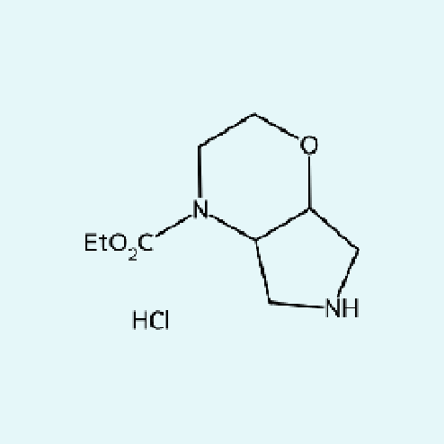 CCOC(=O)N1CCOC2CNCC21.Cl